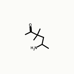 CC(=O)C(C)(C)CC(C)N